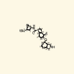 CC(C)(C)c1cc(NC(=O)n2ccc3c(F)c(Oc4ncnc5c4CNC5)ccc32)no1